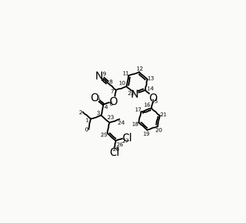 CC(C)C(C(=O)OC(C#N)c1cccc(Oc2ccccc2)n1)C(C)C=C(Cl)Cl